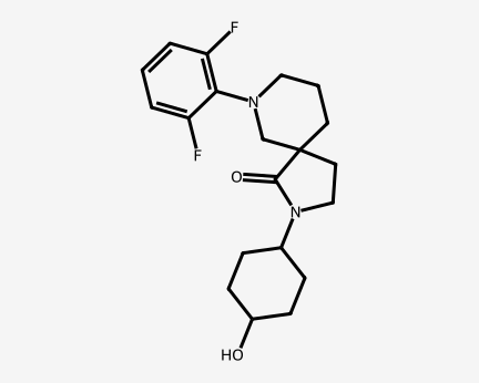 O=C1N(C2CCC(O)CC2)CCC12CCCN(c1c(F)cccc1F)C2